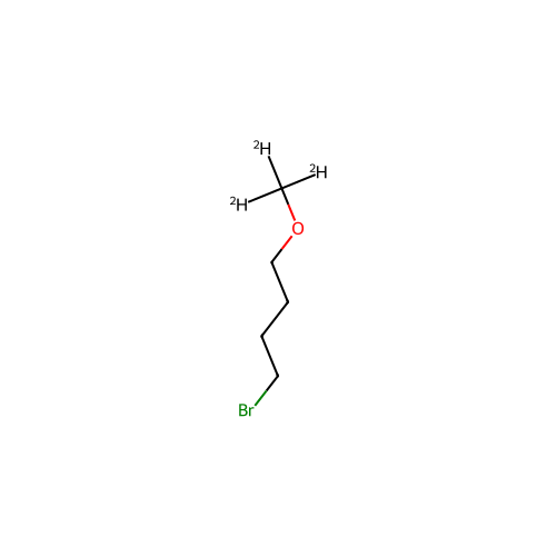 [2H]C([2H])([2H])OCCCCBr